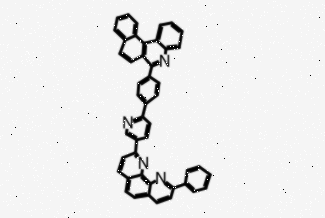 c1ccc(-c2ccc3ccc4ccc(-c5ccc(-c6ccc(-c7nc8ccccc8c8c7ccc7ccccc78)cc6)nc5)nc4c3n2)cc1